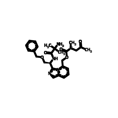 CC(=O)CN(C)C(=O)OCc1cccc2cnc([C@@H](COCc3ccccc3)NC(=O)C(C)(C)N)n12